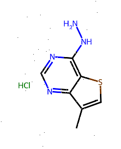 Cc1csc2c(NN)ncnc12.Cl